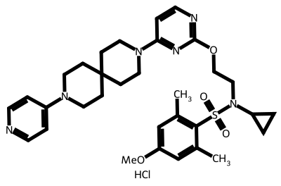 COc1cc(C)c(S(=O)(=O)N(CCOc2nccc(N3CCC4(CCN(c5ccncc5)CC4)CC3)n2)C2CC2)c(C)c1.Cl